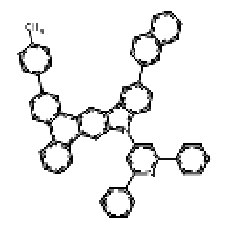 Cc1ccc(-c2ccc3c4ccccc4c4cc5c(cc4c3c2)c2cc(-c3ccc4ccccc4c3)ccc2n5-c2cc(-c3ccccc3)nc(-c3ccccc3)c2)cc1